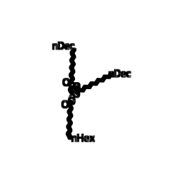 CCCCCC/C=C\CCCCCCCC(=O)OC[C@H](COC(=O)CCCCCCCCCCCCCCCCCCC)OC(=O)CCCCCCCCCCCCCCCCCCC